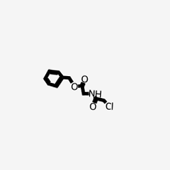 O=C(CCl)NCC(=O)OCc1ccccc1